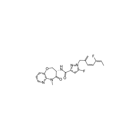 C=C(/C=C\C(F)=C/C)Cn1nc(C(=O)N[C@H]2COc3cccnc3N(C)C2=O)cc1F